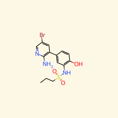 CCCS(=O)(=O)Nc1cc(-c2cc(Br)cnc2N)ccc1O